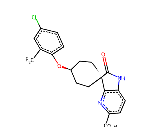 O=C(O)c1ccc2c(n1)[C@]1(CC[C@H](Oc3ccc(Cl)cc3C(F)(F)F)CC1)C(=O)N2